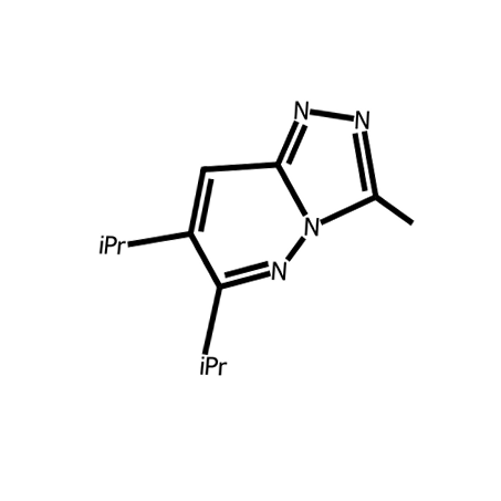 Cc1nnc2cc(C(C)C)c(C(C)C)nn12